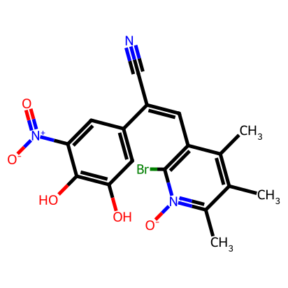 Cc1c(C)c(C)[n+]([O-])c(Br)c1/C=C(/C#N)c1cc(O)c(O)c([N+](=O)[O-])c1